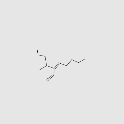 CCCCC=C(C=O)C(C)CCC